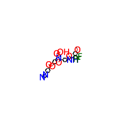 COc1ccc(CC(=O)Nc2ccc(C(=O)N(CC(=O)O)Cc3ccc(OC(=O)c4ccc(-n5ccnc5)cc4)cc3)cc2)c(C(F)(F)F)c1